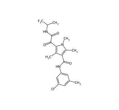 Cc1cc(Cl)cc(NC(=O)c2c(C)c(C(=O)C(=O)NC(C)C(F)(F)F)n(C)c2C)c1